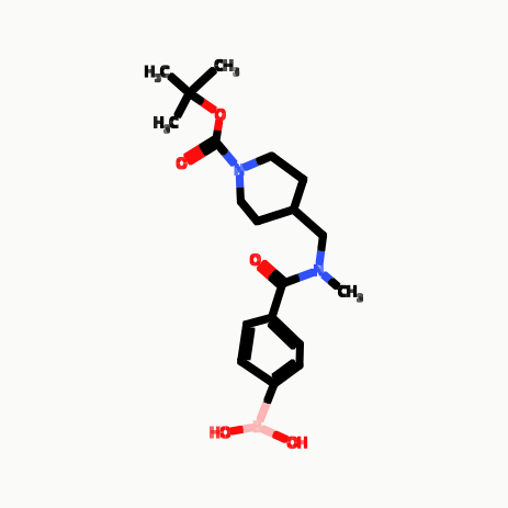 CN(CC1CCN(C(=O)OC(C)(C)C)CC1)C(=O)c1ccc(B(O)O)cc1